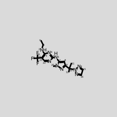 CCNc1nc(Nc2cc(C(C)(C)n3nccn3)nn2C)ncc1C(F)(F)F